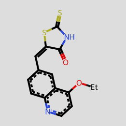 CCOc1ccnc2ccc(C=C3SC(=S)NC3=O)cc12